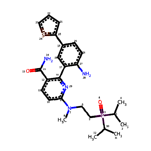 CC(C)P(=O)(CCN(C)c1ccc(C(N)=O)c(-c2cc(-c3cccs3)ccc2N)n1)C(C)C